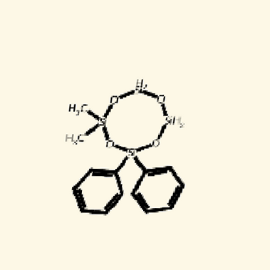 C[Si]1(C)O[SiH2]O[SiH2]O[Si](c2ccccc2)(c2ccccc2)O1